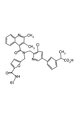 CCNC(=O)c1ccc(CN(Cc2ncc(-c3cccc(C(C)C(=O)O)c3)cc2Cl)C(=O)c2c(C)c(C)nc3ccccc23)o1